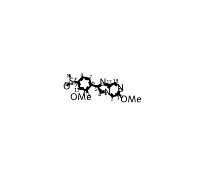 COc1cn2cc(-c3ccc([S+](C)[O-])cc3OC)nc2cn1